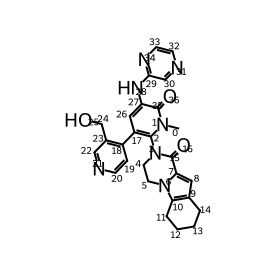 Cn1c(N2CCn3c(cc4c3CCCC4)C2=O)c(-c2ccncc2CO)cc(Nc2cnccn2)c1=O